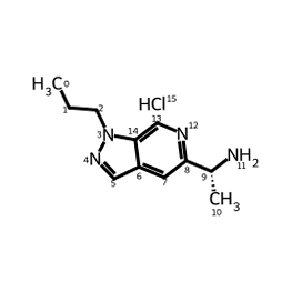 CCCn1ncc2cc([C@@H](C)N)ncc21.Cl